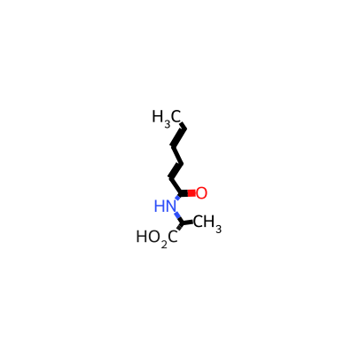 C/C=C/C=C/C(=O)NC(C)C(=O)O